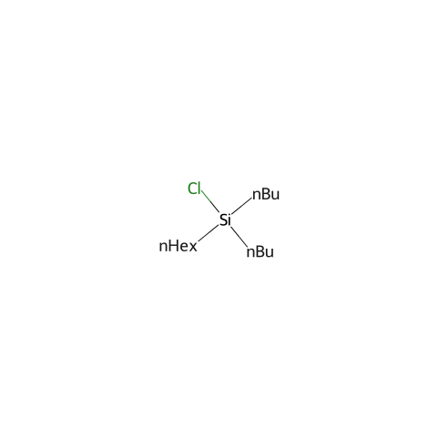 CCCCCC[Si](Cl)(CCCC)CCCC